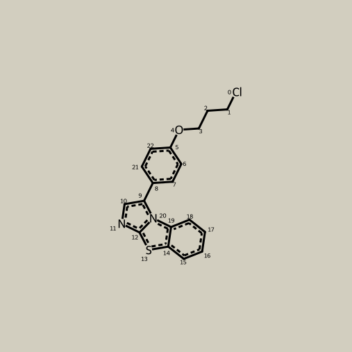 ClCCCOc1ccc(-c2cnc3sc4ccccc4n23)cc1